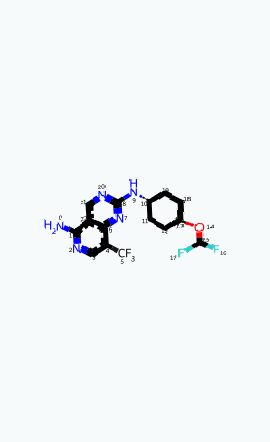 Nc1ncc(C(F)(F)F)c2nc(N[C@H]3CC[C@H](OC(F)F)CC3)ncc12